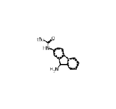 CC(C)(C)C(=O)Nc1ccc2c(c1)C(N)c1ccccc1-2